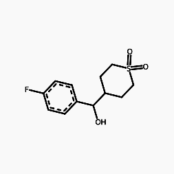 O=S1(=O)CCC(C(O)c2ccc(F)cc2)CC1